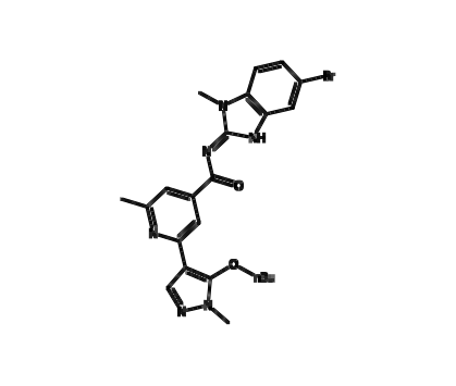 CCCCOc1c(-c2cc(C(=O)/N=c3\[nH]c4cc(Br)ccc4n3C)cc(C)n2)cnn1C